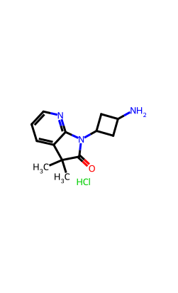 CC1(C)C(=O)N(C2CC(N)C2)c2ncccc21.Cl